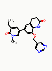 CCc1cc(-c2cc3c(c(OCc4cncnc4)c2)NC(=O)CC3)cn(C)c1=O